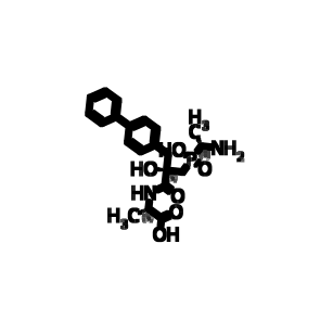 C[C@H](NC(=O)[C@@](O)(Cc1ccc(-c2ccccc2)cc1)CP(=O)(O)[C@H](C)N)C(=O)O